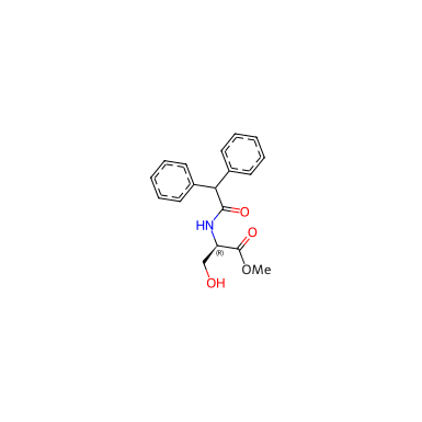 COC(=O)[C@@H](CO)NC(=O)C(c1ccccc1)c1ccccc1